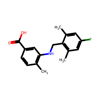 Cc1ccc(C(=O)O)cc1NCc1c(C)cc(F)cc1C